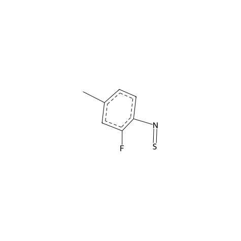 Cc1ccc(N=S)c(F)c1